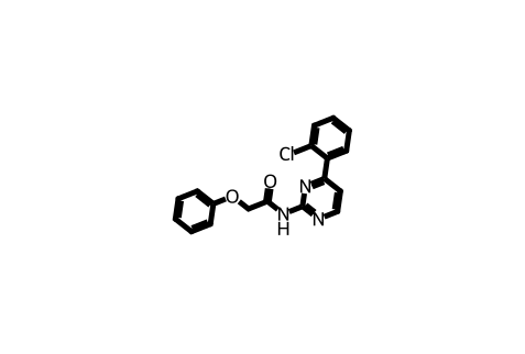 O=C(COc1ccccc1)Nc1nccc(-c2ccccc2Cl)n1